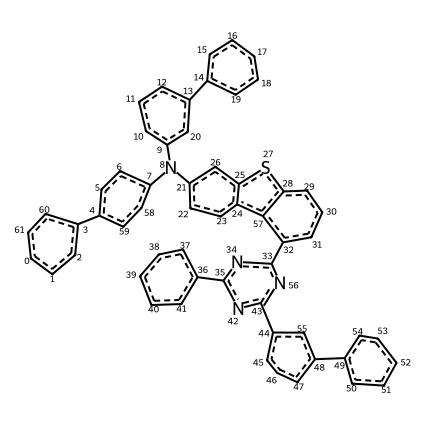 c1ccc(-c2ccc(N(c3cccc(-c4ccccc4)c3)c3ccc4c(c3)sc3cccc(-c5nc(-c6ccccc6)nc(-c6cccc(-c7ccccc7)c6)n5)c34)cc2)cc1